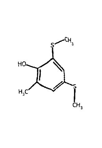 CSc1cc(C)c(O)c(SC)c1